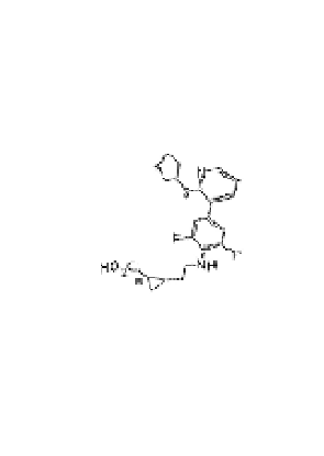 O=C(O)[C@@H]1CC1CCNc1c(F)cc(-c2cccnc2SC2CCCC2)cc1F